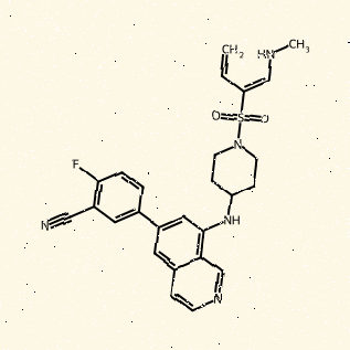 C=C/C(=C\NC)S(=O)(=O)N1CCC(Nc2cc(-c3ccc(F)c(C#N)c3)cc3ccncc23)CC1